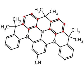 CC1(C)c2ccccc2N(c2cc(C#N)cc(N3c4ccccc4C(C)(C)c4ccccc43)c2N2c3ccccc3C(C)(C)c3ccccc32)c2ccccc21